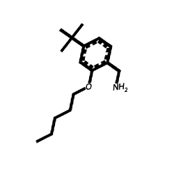 CCCCCOc1cc(C(C)(C)C)ccc1CN